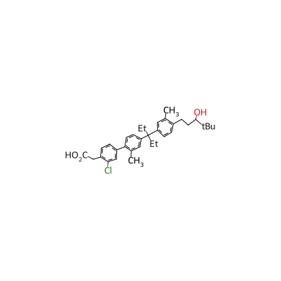 CCC(CC)(c1ccc(CCC(O)C(C)(C)C)c(C)c1)c1ccc(-c2ccc(CC(=O)O)c(Cl)c2)c(C)c1